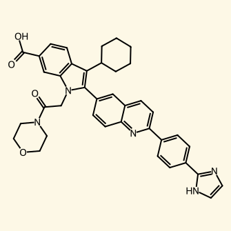 O=C(O)c1ccc2c(C3CCCCC3)c(-c3ccc4nc(-c5ccc(-c6ncc[nH]6)cc5)ccc4c3)n(CC(=O)N3CCOCC3)c2c1